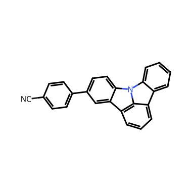 N#Cc1ccc(-c2ccc3c(c2)c2cccc4c5ccccc5n3c42)cc1